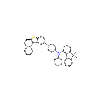 CC1(C)c2ccccc2-c2c(N(c3ccccc3)c3ccc(-c4ccc5sc6ccc7ccccc7c6c5c4)cc3)cccc21